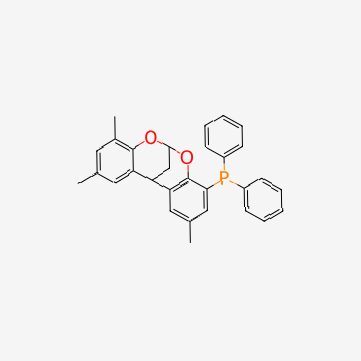 Cc1cc(C)c2c(c1)C1CC(O2)Oc2c1cc(C)cc2P(c1ccccc1)c1ccccc1